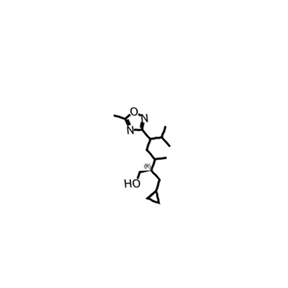 Cc1nc(C(CC(C)[C@H](CO)CC2CC2)C(C)C)no1